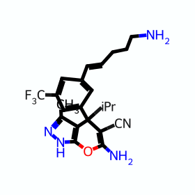 Cc1n[nH]c2c1C(c1cc(C=CCCCN)cc(C(F)(F)F)c1)(C(C)C)C(C#N)=C(N)O2